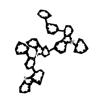 c1ccc(-c2cccc(-c3cccc4c3c3cc(-c5ccc6c(c5)c5ccccc5n6-c5cc(-c6cccc7c6sc6ccccc67)ccc5-c5ccccc5)ccc3n4-c3ccccc3)c2)cc1